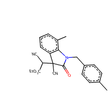 CCOC(=O)C(C#N)C1(C#N)C(=O)N(Cc2ccc(C)cc2)c2c(C)cccc21